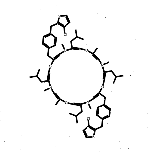 CC1=CN(C)C(CC(C)C)=COC(Cc2ccc(Cc3sccc3Cl)cc2)=CN(C)C(CC(C)C)=COC(C)=CN(C)C(CC(C)C)=COC(Cc2ccc(Cc3sccc3Cl)cc2)=CN(C)C(CC(C)C)=CO1